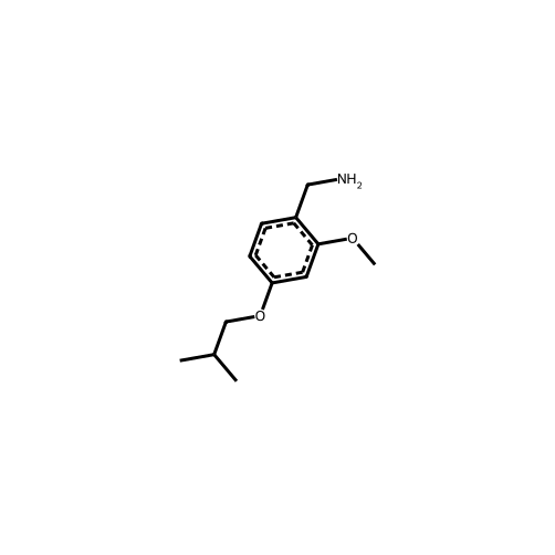 COc1cc(OCC(C)C)ccc1CN